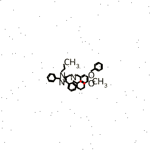 CCCCn1c(-c2ccccc2)nc(-c2ccccc2)c1CN(Cc1ccc(OC)c(OCc2ccccc2)c1)CC1CCCCC1